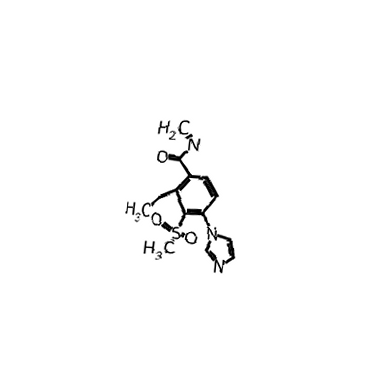 C=NC(=O)c1ccc(-n2ccnc2)c(S(C)(=O)=O)c1CC